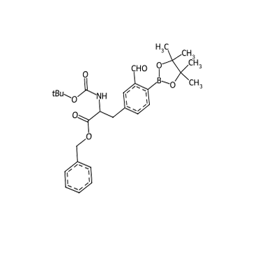 CC(C)(C)OC(=O)NC(Cc1ccc(B2OC(C)(C)C(C)(C)O2)c(C=O)c1)C(=O)OCc1ccccc1